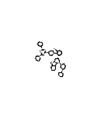 c1ccc(-c2cccc(-c3cc(-c4cccc5oc6cc(-c7nc(-c8ccccc8)nc(-c8ccccc8)n7)ccc6c45)cc4oc5ccccc5c34)c2)cc1